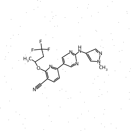 CC(CC(F)(F)F)Oc1nc(-c2cnc(Nc3cnn(C)c3)nc2)ccc1C#N